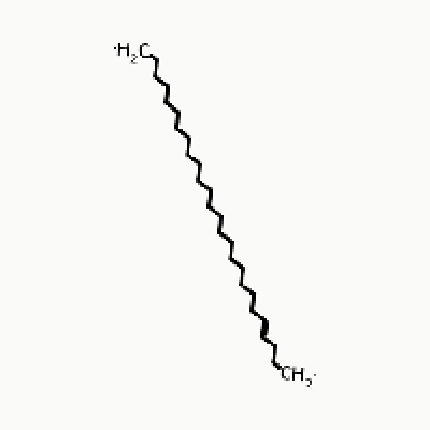 [CH2]CCC=CCCCCCCCCCCCCCCCCCCCC[CH2]